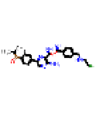 CC(C)[S+]([O-])c1ccc(-c2cnc(N)c(C(=N)OC(=N)c3ccc(CNCCF)cc3)n2)cc1